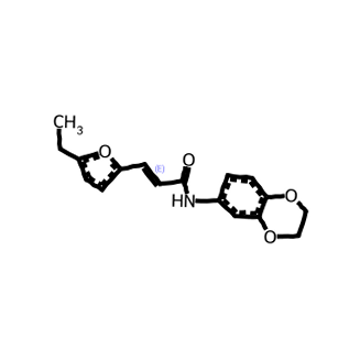 CCc1ccc(/C=C/C(=O)Nc2ccc3c(c2)OCCO3)o1